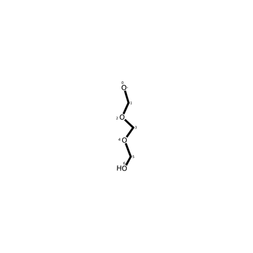 [O]COCOCO